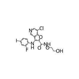 O=C(NOCCO)c1oc2c(Cl)cncc2c1Nc1ccc(I)cc1F